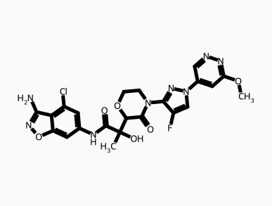 COc1cc(-n2cc(F)c(N3CCOC(C(C)(O)C(=O)Nc4cc(Cl)c5c(N)noc5c4)C3=O)n2)cnn1